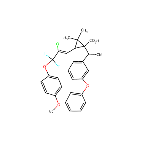 CCOc1ccc(OC(F)(F)C(Cl)=CC2C(C)(C)C2(C(=O)O)C(C#N)c2cccc(Oc3ccccc3)c2)cc1